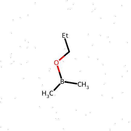 CCCOB(C)C